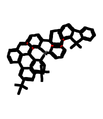 CC(C)(C)c1cc(-c2cccc3cccc(-c4ccccc4N(c4cccc(-c5cccc6c5C(C)(C)c5ccccc5-6)c4)c4ccccc4-c4ccccc4)c23)cc(C(C)(C)C)c1